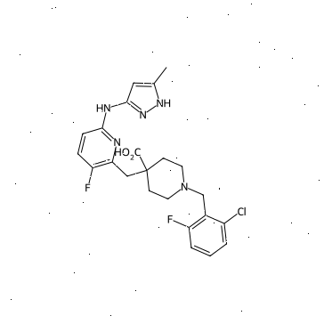 Cc1cc(Nc2ccc(F)c(CC3(C(=O)O)CCN(Cc4c(F)cccc4Cl)CC3)n2)n[nH]1